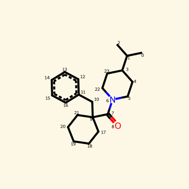 CC(C)C1CCN(C(=O)C2(Cc3ccccc3)CCCCC2)CC1